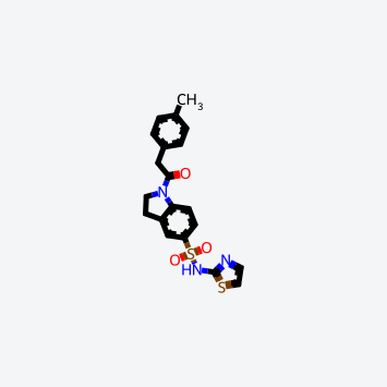 Cc1ccc(CC(=O)N2CCc3cc(S(=O)(=O)Nc4nccs4)ccc32)cc1